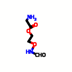 NCC(=O)OCCONC=O